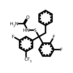 NC(=O)NSC(Cc1ccccc1)(c1cc(F)cc(C(F)(F)F)c1)c1cccc(F)c1F